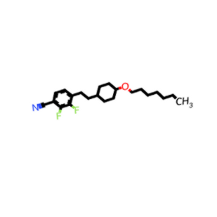 CCCCCCCOC1CCC(CCc2ccc(C#N)c(F)c2F)CC1